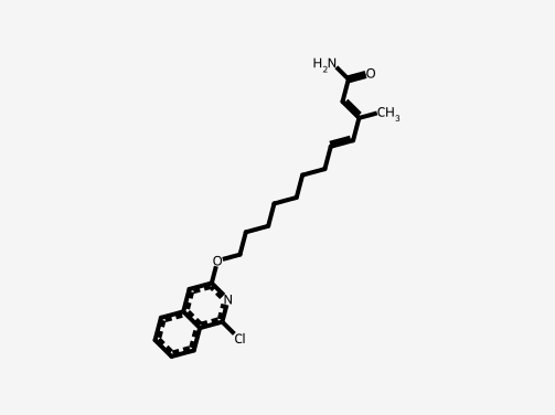 CC(C=CCCCCCCCOc1cc2ccccc2c(Cl)n1)=CC(N)=O